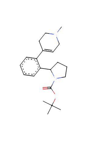 CN1CC=C(c2ccccc2C2CCCN2C(=O)OC(C)(C)C)CC1